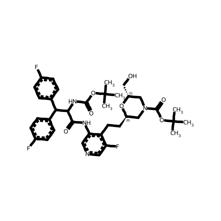 CC(C)(C)OC(=O)NC(C(=O)Nc1cncc(F)c1CC[C@@H]1CN(C(=O)OC(C)(C)C)C[C@@H](CO)O1)C(c1ccc(F)cc1)c1ccc(F)cc1